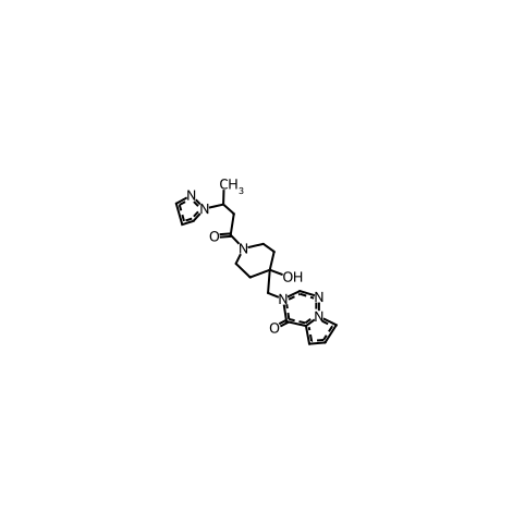 CC(CC(=O)N1CCC(O)(Cn2cnn3cccc3c2=O)CC1)n1cccn1